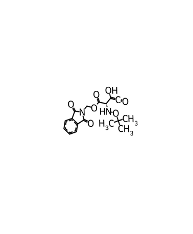 CC(C)(C)ON[C@H](C(=O)OCN1C(=O)c2ccccc2C1=O)C(O)=C=O